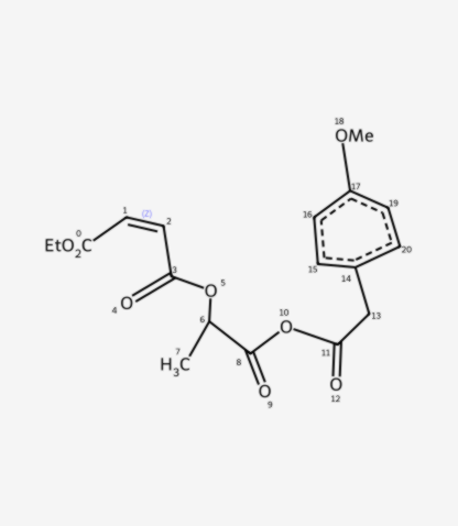 CCOC(=O)/C=C\C(=O)OC(C)C(=O)OC(=O)Cc1ccc(OC)cc1